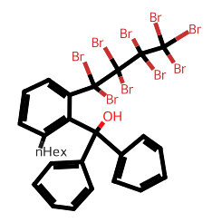 CCCCCCc1cccc(C(Br)(Br)C(Br)(Br)C(Br)(Br)C(Br)(Br)Br)c1C(O)(c1ccccc1)c1ccccc1